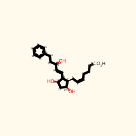 O=C(O)CCC/C=C\C[C@@H]1C(/C=C/C(O)CCc2ccccc2)[C@H](O)C[C@@H]1O